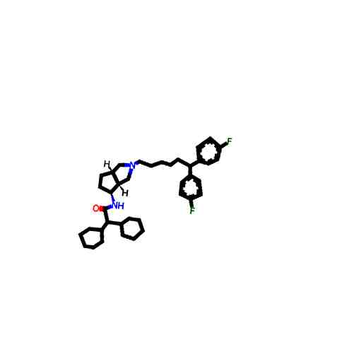 O=C(N[C@H]1CC[C@H]2CN(CCCCCC(c3ccc(F)cc3)c3ccc(F)cc3)C[C@H]21)C(C1CCCCC1)C1CCCCC1